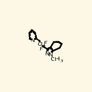 Cn1nc(C(F)(F)OCc2ccccn2)c2c1CCCC2